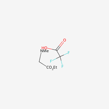 CCOC(=O)CNC.O=C(O)C(F)(F)F